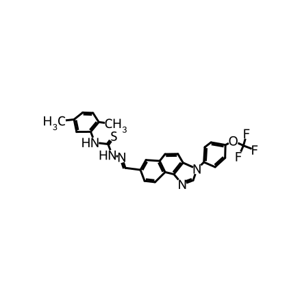 Cc1ccc(C)c(NC(=S)NN=Cc2ccc3c(ccc4c3ncn4-c3ccc(OC(F)(F)F)cc3)c2)c1